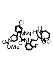 COC(=O)N1CCC(c2ccc(Cl)cc2)([C@H](N=[N+]=[N-])C(=O)Nc2cccc(F)c2CC[C@H]2CN[C@@H]3CCCS(=O)(=O)N2C3)CC1